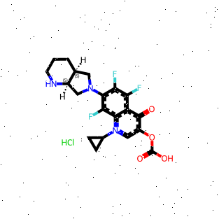 Cl.O=C(O)Oc1cn(C2CC2)c2c(F)c(N3C[C@@H]4CCCN[C@@H]4C3)c(F)c(F)c2c1=O